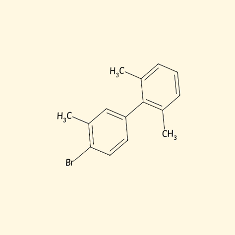 Cc1cc(-c2c(C)cccc2C)ccc1Br